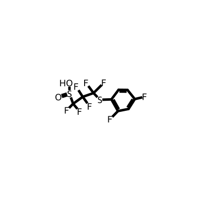 O=S(O)C(F)(F)C(F)(F)C(F)(F)Sc1ccc(F)cc1F